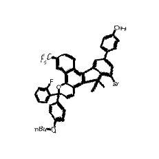 CCCCOc1ccc(C2(c3ccccc3F)C=Cc3c4c(c5ccc(C(F)(F)F)cc5c3O2)-c2cc(-c3ccc(O)cc3)cc(Br)c2C4(C)C)cc1